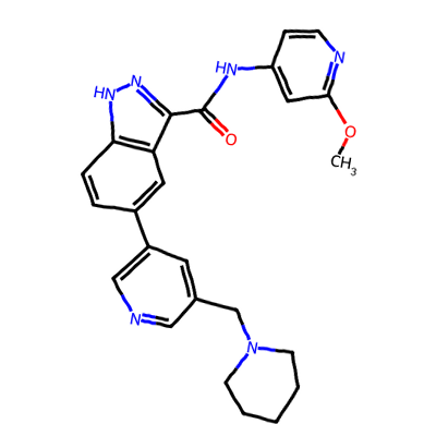 COc1cc(NC(=O)c2n[nH]c3ccc(-c4cncc(CN5CCCCC5)c4)cc23)ccn1